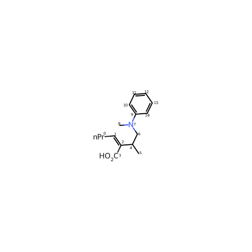 CCCC=C(C(=O)O)C(C)CN(C)c1ccccc1